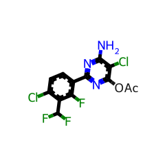 CC(=O)Oc1nc(-c2ccc(Cl)c(C(F)F)c2F)nc(N)c1Cl